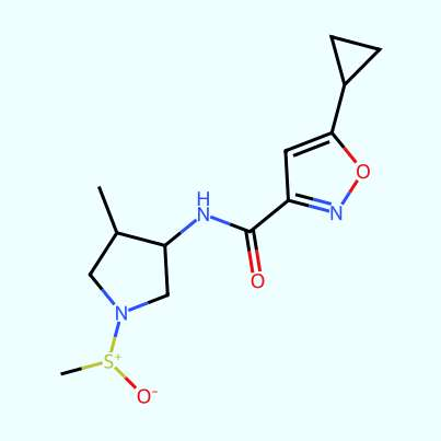 CC1CN([S+](C)[O-])CC1NC(=O)c1cc(C2CC2)on1